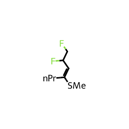 CCC/C(=C\C(F)CF)SC